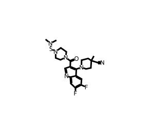 CN(C)SN1CCN(C(=O)c2cnc3cc(F)c(F)cc3c2N2CCC(C)(C#N)CC2)CC1